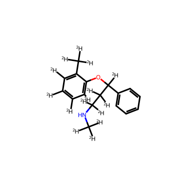 [2H]c1c([2H])c([2H])c(C([2H])([2H])[2H])c(OC([2H])(c2ccccc2)C([2H])([2H])C([2H])([2H])NC([2H])([2H])[2H])c1[2H]